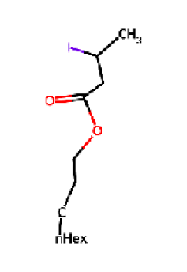 CCCCCCCCCOC(=O)CC(C)I